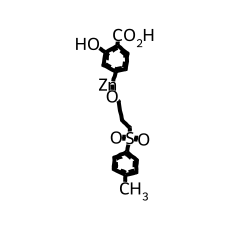 Cc1ccc(S(=O)(=O)CCC[O][Zn][c]2ccc(C(=O)O)c(O)c2)cc1